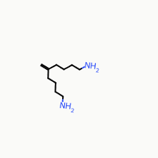 C=C(CCCCN)CCCCN